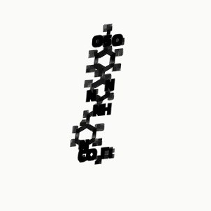 CCOC(=O)N1CCC(CNc2cnc(-c3ccc(S(C)(=O)=O)cc3)cn2)CC1